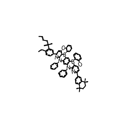 CCCCC(C)(C)c1cc(-c2cc3c4c(n2)N(c2ccccc2)c2cc5c(cc2B4c2ccccc2O3)B2c3ccccc3Oc3cc(-c4ccc6c(c4)C(C)(C)CCC6(C)C)nc(c32)N5c2ccccc2)ccc1CC